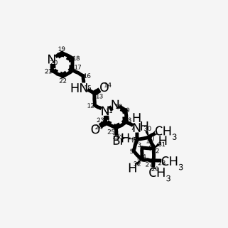 C[C@@H]1[C@H]2C[C@@H](C[C@H]1Nc1cnn(CC(=O)NCc3ccncc3)c(=O)c1Br)C2(C)C